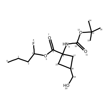 CCCC(F)OC(=O)C1(NC(=O)OC(C)(C)C)CC(CO)C1